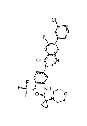 O=C(Nc1cc(-n2cnc3cc(-c4cncc(Cl)c4)c(F)cc3c2=O)ccc1OC(F)(F)F)C1(N2CCOCC2)CC1